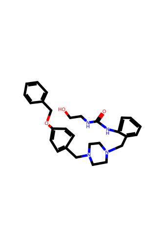 O=C(NCCO)Nc1ccccc1CN1CCN(Cc2ccc(OCc3ccccc3)cc2)CC1